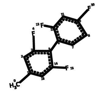 Cc1cc(F)c(-c2[c]cc(F)cc2F)c(F)c1